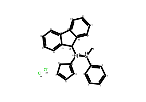 C[SiH](c1ccccc1)[Hf+2]([C]1=CC=CC1)[CH]1c2ccccc2-c2ccccc21.[Cl-].[Cl-]